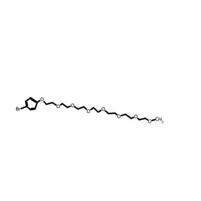 COCCOCCOCCOCCOCCOCCOCCOc1ccc(Br)cc1